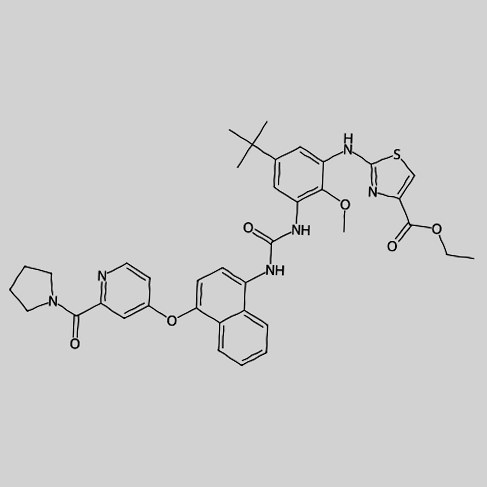 CCOC(=O)c1csc(Nc2cc(C(C)(C)C)cc(NC(=O)Nc3ccc(Oc4ccnc(C(=O)N5CCCC5)c4)c4ccccc34)c2OC)n1